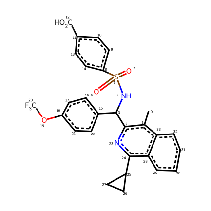 Cc1c(C(NS(=O)(=O)c2ccc(C(=O)O)cc2)c2ccc(OC(F)(F)F)cc2)nc(C2CC2)c2ccccc12